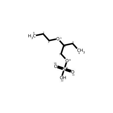 CCCOC(CC)COS(=O)(=O)O